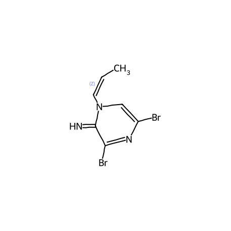 C/C=C\n1cc(Br)nc(Br)c1=N